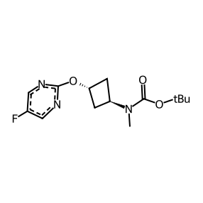 CN(C(=O)OC(C)(C)C)[C@H]1C[C@H](Oc2ncc(F)cn2)C1